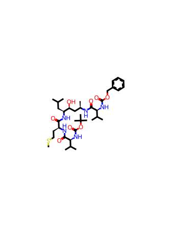 CSCC[C@H](NC(=O)[C@@H](NC(=O)OC(C)(C)C)C(C)C)C(=O)N[C@@H](CC(C)C)[C@@H](O)C[C@@H](C)NC(=O)[C@@H](NC(=O)OCc1ccccc1)C(C)C